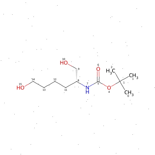 CC(C)(C)OC(=O)N[C@@H](CO)CCCCO